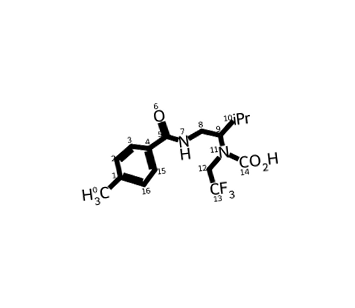 Cc1ccc(C(=O)NCC(C(C)C)N(CC(F)(F)F)C(=O)O)cc1